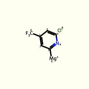 FC(F)(F)c1ccn[c]([Mg+])c1.[Cl-]